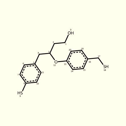 OCCC(Cc1ccc(S)cc1)Oc1ccc(CS)cc1